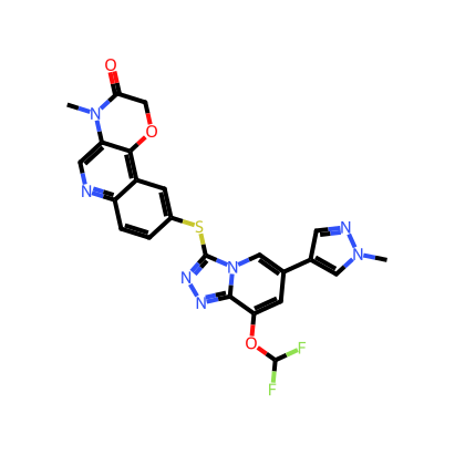 CN1C(=O)COc2c1cnc1ccc(Sc3nnc4c(OC(F)F)cc(-c5cnn(C)c5)cn34)cc21